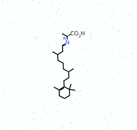 CC1=C(CCC(C)CCCC(C)CC=N[C@@H](C)C(=O)O)C(C)(C)CCC1